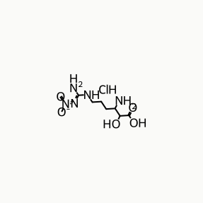 Cl.NC(=N[N+](=O)[O-])NCCCC(N)C(O)C(=O)O